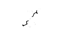 N[C@@H](CSSC[C@H](N)C(=O)O)C(=O)O.[K].[K]